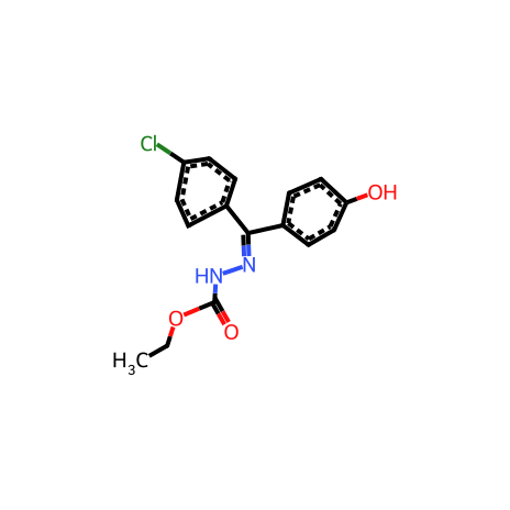 CCOC(=O)NN=C(c1ccc(O)cc1)c1ccc(Cl)cc1